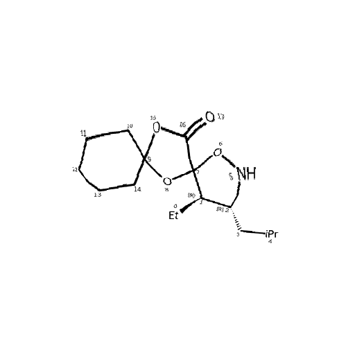 CC[C@@H]1[C@@H](CC(C)C)NOC12OC1(CCCCC1)OC2=O